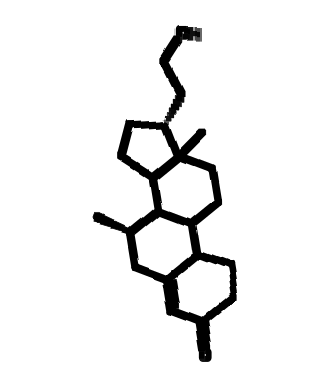 C[C@@H]1CC2=CC(=O)CCC2C2CCC3(C)C(CC[C@@H]3CCO)C21